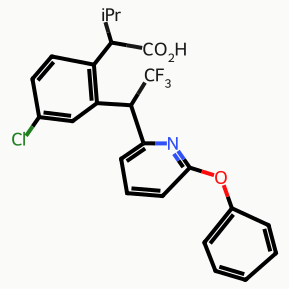 CC(C)C(C(=O)O)c1ccc(Cl)cc1C(c1cccc(Oc2ccccc2)n1)C(F)(F)F